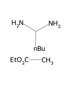 CCCCC(N)N.CCOC(C)=O